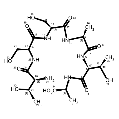 C[C@H](NC(=O)[C@@H](NC(=O)[C@H](C)NC(=O)[C@H](CO)NC(=O)[C@H](CO)NC(=O)[C@@H](N)[C@@H](C)O)[C@@H](C)O)C(=O)O